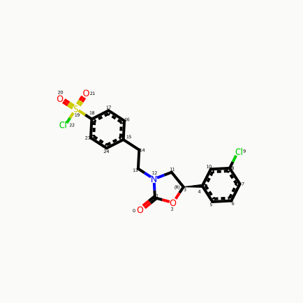 O=C1O[C@H](c2cccc(Cl)c2)CN1CCc1ccc(S(=O)(=O)Cl)cc1